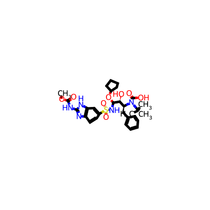 COC(=O)Nc1nc2ccc(S(=O)(=O)NC(OC3CCCC3)[C@H](O)[C@H](Cc3ccccc3)N(C(=O)O)C(C)(C)C)cc2[nH]1